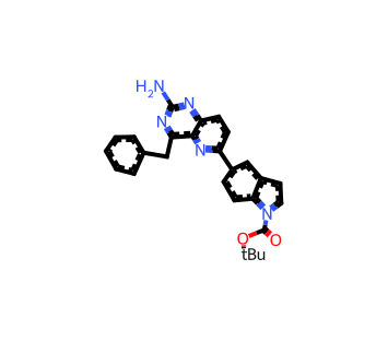 CC(C)(C)OC(=O)n1ccc2cc(-c3ccc4nc(N)nc(Cc5ccccc5)c4n3)ccc21